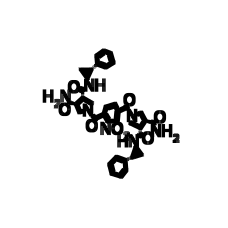 NC(=O)[C@@H]1CN(C(=O)c2ccc(C(=O)N3C[C@@H](C(N)=O)[C@H](C(=O)N[C@H]4C[C@@H]4c4ccccc4)C3)c([N+](=O)[O-])c2)C[C@H]1C(=O)N[C@H]1C[C@@H]1c1ccccc1